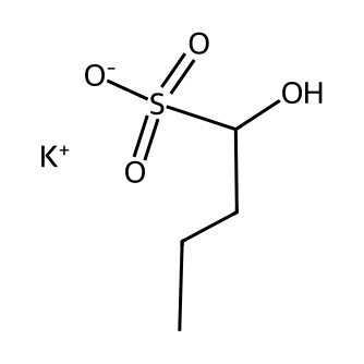 CCCC(O)S(=O)(=O)[O-].[K+]